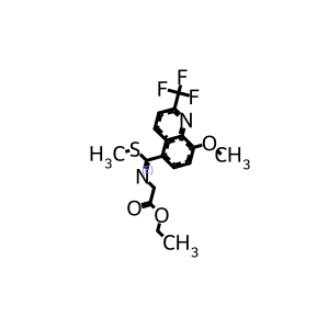 CCOC(=O)C/N=C(/SC)c1ccc(OC)c2nc(C(F)(F)F)ccc12